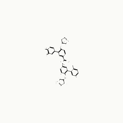 Cc1ccccc1-c1cc(NC(=O)c2ccc(OC3CCNC3)c(-c3ccc(F)c(F)c3)c2)ccc1OC1CCNC1